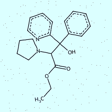 CCOC(=O)C(N1CCCC1)C(O)(c1ccccc1)c1ccccn1